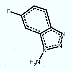 Nn1nnc2ccc(F)cc21